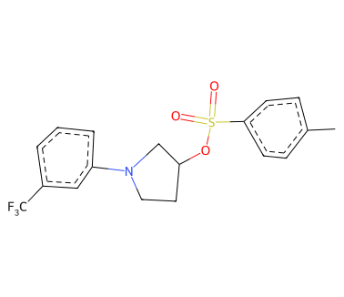 Cc1ccc(S(=O)(=O)OC2CCN(c3cccc(C(F)(F)F)c3)C2)cc1